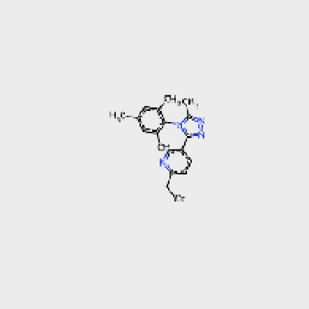 Cc1cc(C)c(-n2c(C)nnc2-c2ccc(CC(C)C)nc2)c(C)c1